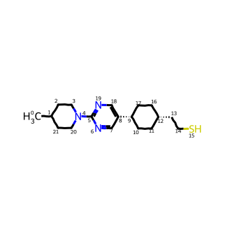 CC1CCN(c2ncc([C@H]3CC[C@@H](CCS)CC3)cn2)CC1